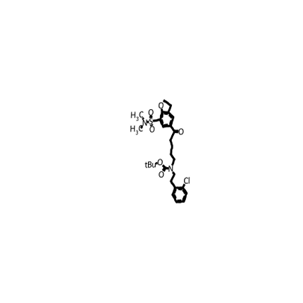 CN(C)S(=O)(=O)c1cc(C(=O)CCCCN(CCc2ccccc2Cl)C(=O)OC(C)(C)C)cc2c1OCC2